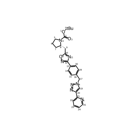 CC(C)(C)OC(=O)N1CCC[C@H]1Cc1nc(-c2ccc(Cn3cc(-c4ccccn4)nn3)cc2)no1